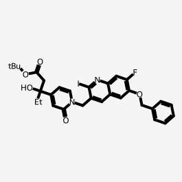 CCC(O)(CC(=O)OC(C)(C)C)c1ccn(Cc2cc3cc(OCc4ccccc4)c(F)cc3nc2I)c(=O)c1